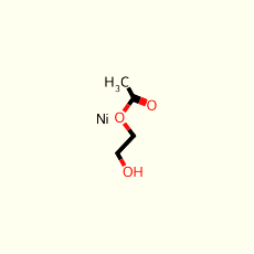 CC(=O)OCCO.[Ni]